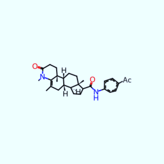 CC(=O)c1ccc(NC(=O)C2CC[C@H]3[C@@H]4CC(C)=C5N(C)C(=O)CC[C@]5(C)[C@@H]4CC[C@]23C)cc1